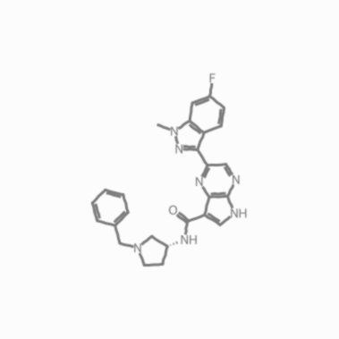 Cn1nc(-c2cnc3[nH]cc(C(=O)N[C@@H]4CCN(Cc5ccccc5)C4)c3n2)c2ccc(F)cc21